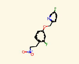 O=[N+]([O-])CCc1ccc(OCc2ccc(F)cn2)cc1F